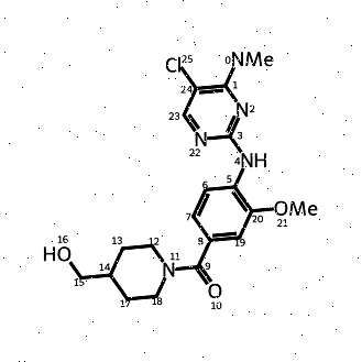 CNc1nc(Nc2ccc(C(=O)N3CCC(CO)CC3)cc2OC)ncc1Cl